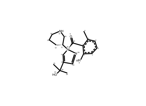 CCCc1cccc(C)c1C(=O)[N@+]1([C@@H]2CCCNC2)C=C(C(C)(C)O)C=N1